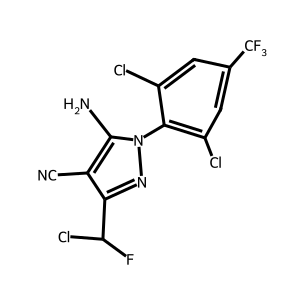 N#Cc1c(C(F)Cl)nn(-c2c(Cl)cc(C(F)(F)F)cc2Cl)c1N